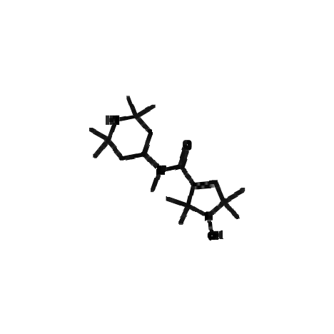 CN(C(=O)C1=CC(C)(C)N(O)C1(C)C)C1CC(C)(C)NC(C)(C)C1